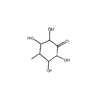 CC1C(O)C(O)C(=O)C(O)C1O